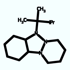 CC(C)C(C)(C)N1C2CCCCC2N2CCCCN21